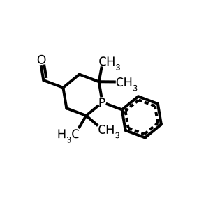 CC1(C)CC(C=O)CC(C)(C)P1c1ccccc1